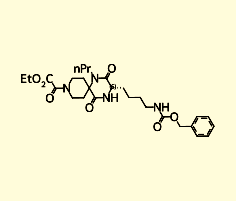 CCCN1C(=O)[C@H](CCCCNC(=O)OCc2ccccc2)NC(=O)C12CCN(C(=O)C(=O)OCC)CC2